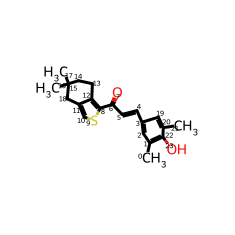 Cc1cc(C=CC(=O)c2scc3c2CCC(C)(C)C3)cc(C)c1O